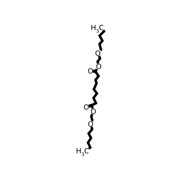 CCCCCCOCCOC(=O)CCCCCCCC(=O)OCCOCCCCCC